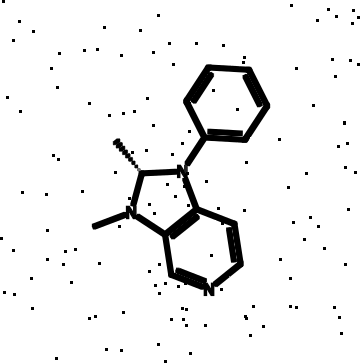 C[C@H]1N(C)c2cnccc2N1c1ccccc1